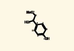 COCC(O)c1ccc(O)cc1